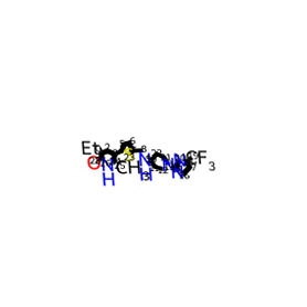 CCc1cc(-c2ccc(CNC3CCN(c4nccc(C(F)(F)F)n4)CC3)s2)c(C)[nH]c1=O